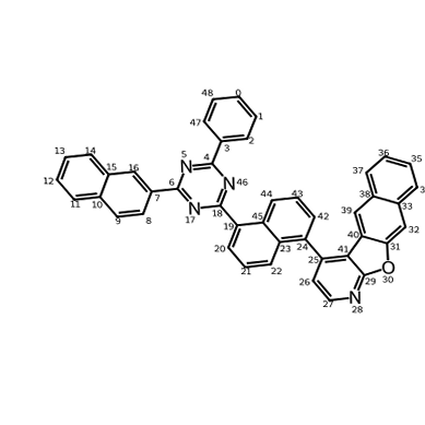 c1ccc(-c2nc(-c3ccc4ccccc4c3)nc(-c3cccc4c(-c5ccnc6oc7cc8ccccc8cc7c56)cccc34)n2)cc1